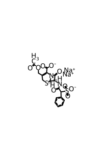 CC(=O)OCC1=C(C(=O)[O-])N2C(=O)[C@@H](NC(=O)C(c3ccccc3)S(=O)(=O)[O-])[C@@H]2SC1.[Na+].[Na+]